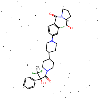 O=C(c1ccc(N2CCC(C3CCN(C(=O)C(O)(c4ccccc4)C(F)(F)C(F)(F)F)CC3)CC2)cc1Cl)N1CCC[C@H]1CO